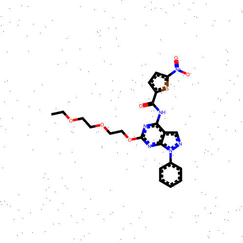 CCOCCOCCOc1nc(NC(=O)c2ccc([N+](=O)[O-])s2)c2cnn(-c3ccccc3)c2n1